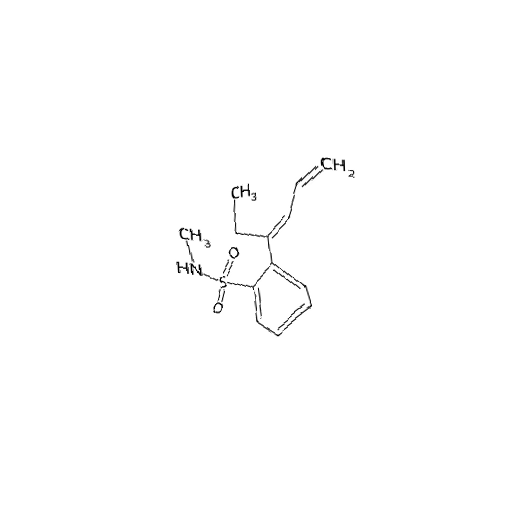 C=C/C=C(\CC)c1ccccc1S(=O)(=O)NC